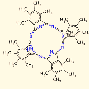 Cc1c(C)c(C)c2c(c1C)-c1nc-2nc2c3c(C)c(C)c(C)c(C)c3c(nc3nc(nc4[nH]c(n1)c1c(C)c(C)c(C)c(C)c41)-c1c(C)c(C)c(C)c(C)c1-3)n2C